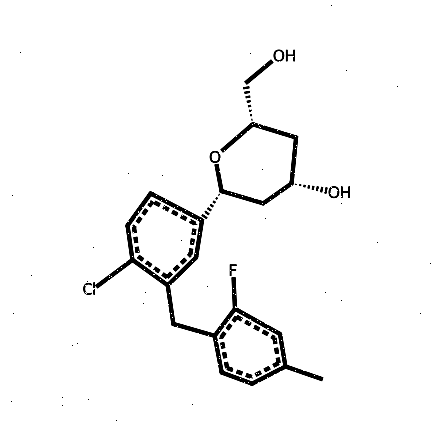 Cc1ccc(Cc2cc([C@H]3C[C@@H](O)C[C@@H](CO)O3)ccc2Cl)c(F)c1